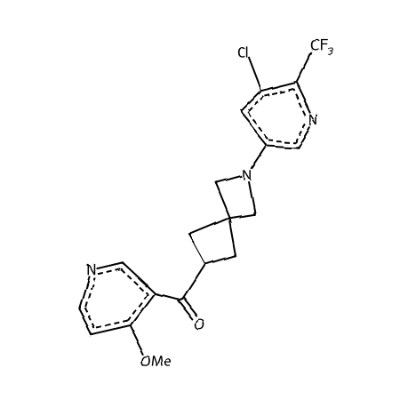 COc1ccncc1C(=O)C1CC2(C1)CN(c1cnc(C(F)(F)F)c(Cl)c1)C2